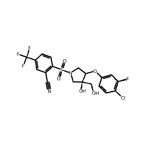 N#Cc1cc(C(F)(F)F)ccc1S(=O)(=O)N1CC(Oc2ccc(Cl)c(F)c2)[C@](O)(CO)C1